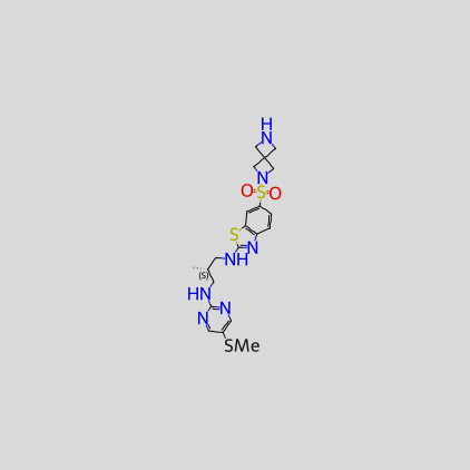 CSc1cnc(NC[C@H](C)CNc2nc3ccc(S(=O)(=O)N4CC5(CNC5)C4)cc3s2)nc1